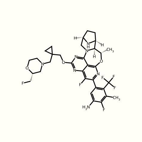 Cc1c(F)c(N)cc(-c2nc3c4c(nc(OCC5(CN6CCO[C@@H](CF)C6)CC5)nc4c2F)N2C[C@H]4CC[C@H](N4)[C@H]2[C@H](C)O3)c1C(F)(F)F